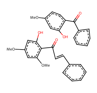 COc1cc(O)c(C(=O)C=Cc2ccccc2)c(OC)c1.COc1ccc(C(=O)c2ccccc2)c(O)c1